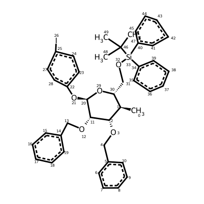 C[C@H]1[C@H](OCc2ccccc2)[C@H](OCc2ccccc2)[C@@H](Oc2ccc(I)cc2)O[C@@H]1CO[Si](c1ccccc1)(c1ccccc1)C(C)(C)C